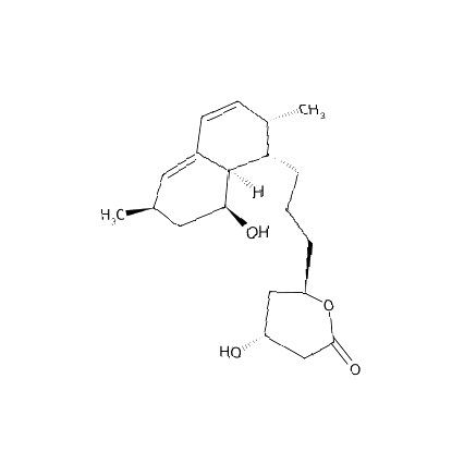 C[C@H]1C=C2C=C[C@H](C)[C@H](CCC[C@@H]3C[C@@H](O)CC(=O)O3)[C@H]2[C@@H](O)C1